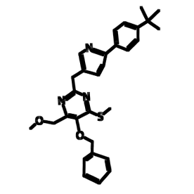 COCc1nc(Cc2ccc(-c3ccc(C(C)(C)C)cc3)nc2)nc(SC)c1OCc1ccccc1